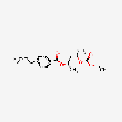 CCCc1ccc(C(=O)OC(C)CC(C)OC(=O)OCC)cc1